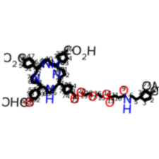 COc1ccc(CCNC(=O)CCC(=O)OCCOCCOC(=O)c2ccc(-c3c4nc(c(-c5ccc(C(=O)O)cc5)c5ccc([nH]5)c(-c5ccc(C(=O)O)cc5)c5nc(c(-c6ccc(OC=O)cc6)c6ccc3[nH]6)C=C5)C=C4)cc2)cc1OC